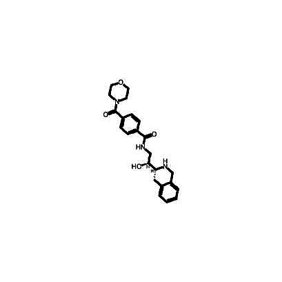 O=C(NC[C@H](O)[C@H]1Cc2ccccc2CN1)c1ccc(C(=O)N2CCOCC2)cc1